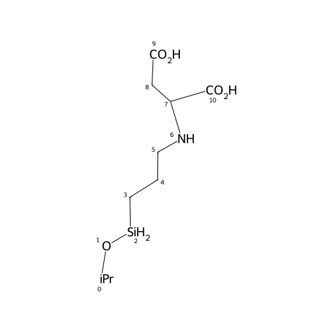 CC(C)O[SiH2]CCCNC(CC(=O)O)C(=O)O